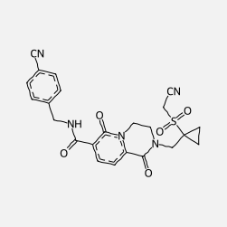 N#CCS(=O)(=O)C1(CN2CCn3c(ccc(C(=O)NCc4ccc(C#N)cc4)c3=O)C2=O)CC1